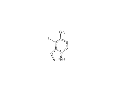 Cc1ccc2[nH]ncc2c1I